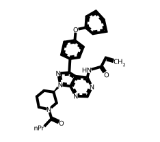 C=CC(=O)Nc1ncnc2c1c(-c1ccc(Oc3ccccc3)cc1)nn2[C@@H]1CCCN(C(=O)CCC)C1